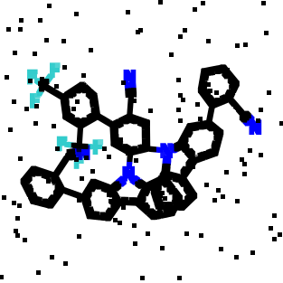 N#Cc1ccccc1-c1ccc2c3ccccc3n(-c3cc(C#N)c(-c4ccc(C(F)(F)F)cc4C(F)(F)F)cc3-n3c4ccccc4c4ccc(-c5ccccc5C#N)cc43)c2c1